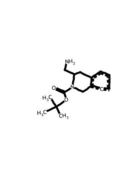 CC(C)(C)OC(=O)N1Cc2ccccc2CC1CN